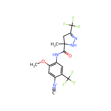 [C-]#[N+]c1cc(OC)c(NC(=O)C2(C)CC(C(F)(F)F)=NN2)cc1C(F)(F)F